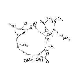 COc1cc2cc(c1Cl)N(C)C(=O)C[C@H](OC(=O)[C@H](C)N(C)C(=O)CCSSC)[C@]1(C)OC1[C@H](C)[C@@H]1C[C@@](O)(NC(=O)O1)[C@H](OC)/C=C/C=C(\C)C2